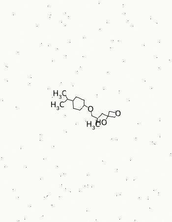 CC(COC1CCC(C(C)C)CC1)CC1(O)COC1